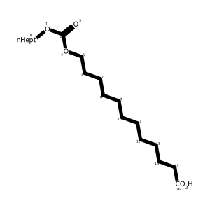 CCCCCCCOC(=O)OCCCCCCCCCCCC(=O)O